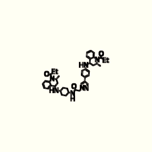 CCC(=O)N1c2ccccc2[C@H](Nc2ccc(-c3cnn(CC(=O)NC4CCC(N[C@@H]5C[C@H](C)N(C(=O)CC)c6ccccc65)CC4)c3)cc2)C[C@@H]1C